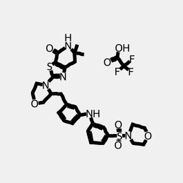 CC1(C)Cc2nc(N3CCOCC3Cc3cccc(Nc4cccc(S(=O)(=O)N5CCOCC5)c4)c3)sc2C(=O)N1.O=C(O)C(F)(F)F